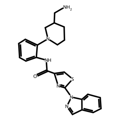 NCC1CCCN(c2ccccc2NC(=O)c2csc(-n3ncc4ccccc43)n2)C1